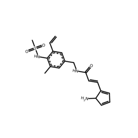 C=Cc1cc(CNC(=O)/C=C/C2=CC=CC2N)cc(C)c1NS(C)(=O)=O